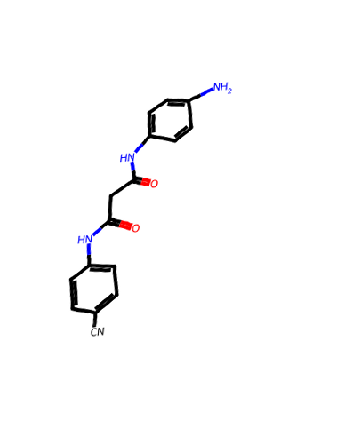 N#Cc1ccc(NC(=O)CC(=O)Nc2ccc(N)cc2)cc1